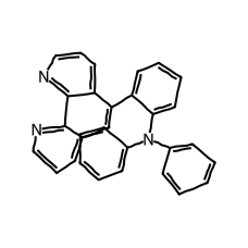 c1ccc(N(c2ccccc2)c2ccccc2-c2cc3cccnc3c3ncccc23)cc1